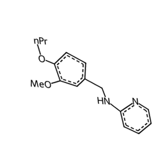 CCCOc1ccc(CNc2ccccn2)cc1OC